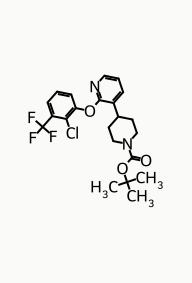 CC(C)(C)OC(=O)N1CCC(c2cccnc2Oc2cccc(C(F)(F)F)c2Cl)CC1